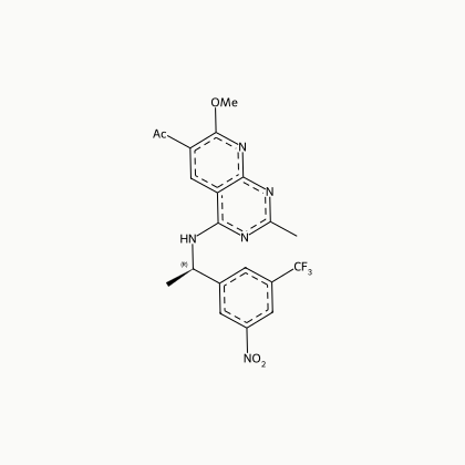 COc1nc2nc(C)nc(N[C@H](C)c3cc([N+](=O)[O-])cc(C(F)(F)F)c3)c2cc1C(C)=O